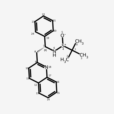 CC(C)(C)[S+]([O-])N[C@H](Cc1ccc2ccccc2n1)c1ccccc1